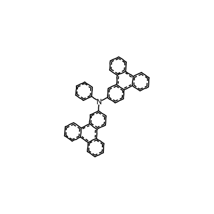 c1ccc(N(c2ccc3c4ccccc4c4ccccc4c3c2)c2ccc3c4ccccc4c4ccccc4c3c2)cc1